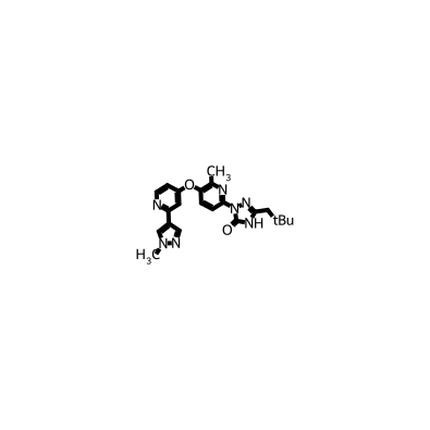 Cc1nc(-n2nc(CC(C)(C)C)[nH]c2=O)ccc1Oc1ccnc(-c2cnn(C)c2)c1